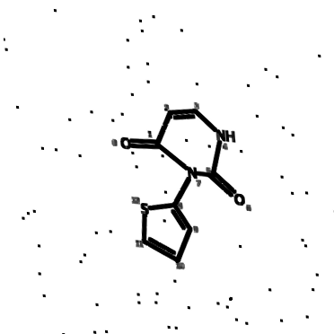 O=c1cc[nH]c(=O)n1-c1cccs1